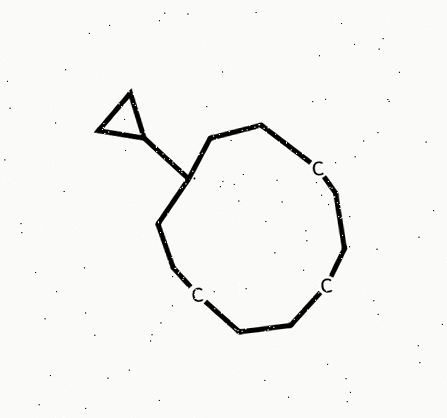 C1CCCCC[C](C2CC2)CCCCC1